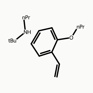 C=Cc1ccccc1OCCC.CCCNC(C)(C)C